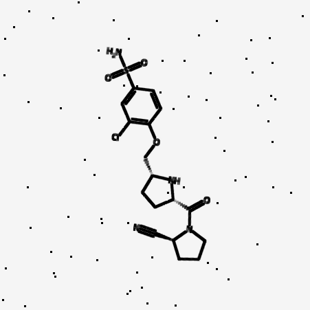 N#C[C@@H]1CCCN1C(=O)[C@@H]1CC[C@H](COc2ccc(S(N)(=O)=O)cc2Cl)N1